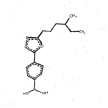 CCC(C)CCCc1nnc(-c2ccc(B(O)O)cc2)o1